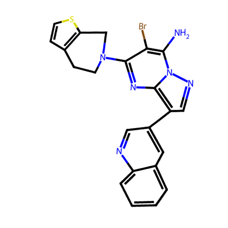 Nc1c(Br)c(N2CCc3ccsc3C2)nc2c(-c3cnc4ccccc4c3)cnn12